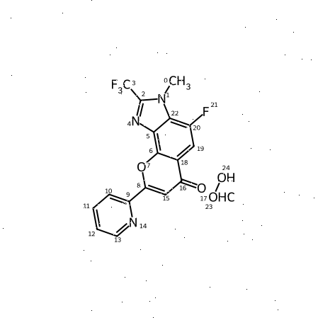 Cn1c(C(F)(F)F)nc2c3oc(-c4ccccn4)cc(=O)c3cc(F)c21.O=CO